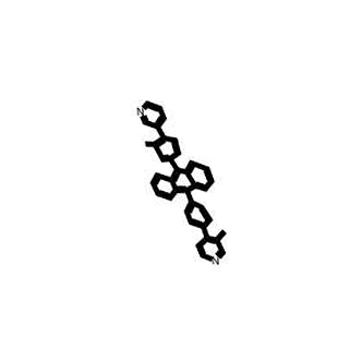 Cc1cnccc1-c1ccc(-c2c3ccccc3c(-c3ccc(-c4cccnc4)c(C)c3)c3ccccc23)cc1